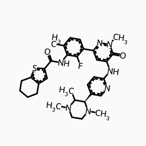 Cc1ccc(-c2cc(Nc3ccc([C@@H]4C(C)N(C)CCN4C)cn3)c(=O)n(C)n2)c(F)c1NC(=O)c1cc2c(s1)CCCC2